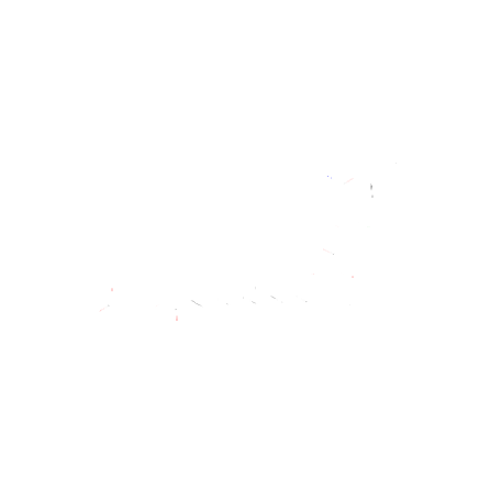 CC/C=C/[C@@H](OC(N)=O)[C@@H](Cl)[C@H](O)CC(=O)[C@@H](O)[C@H](O)[C@H](C)/C(Cl)=C/C=C/C=C(C)/C=C/C=C/C(=O)O[C@H]1CCCC(C(=O)O)C1